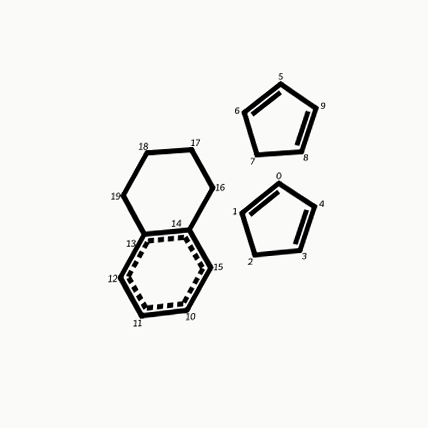 C1=CCC=C1.C1=CCC=C1.c1ccc2c(c1)CCCC2